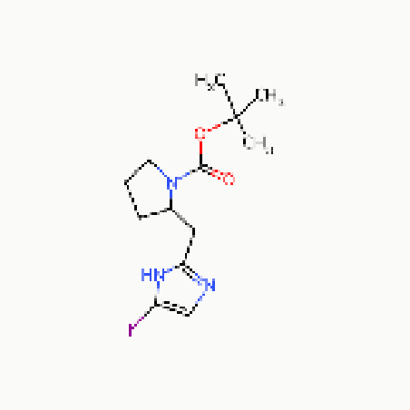 CC(C)(C)OC(=O)N1CCCC1Cc1ncc(I)[nH]1